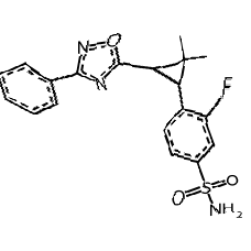 CC1(C)C(c2nc(-c3ccccc3)no2)C1c1ccc(S(N)(=O)=O)cc1F